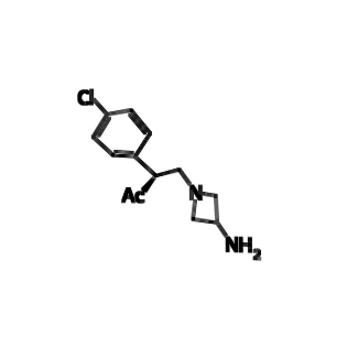 CC(=O)[C@H](CN1CC(N)C1)c1ccc(Cl)cc1